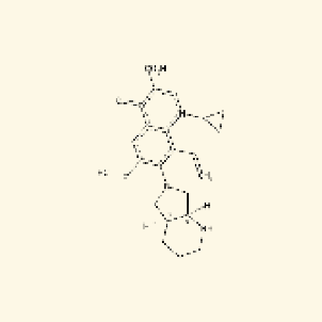 C=Cc1c(N2C[C@@H]3CCCN[C@@H]3C2)c(F)cc2c(=O)c(C(=O)O)cn(C3CC3)c12.Cl